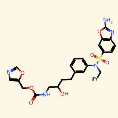 CC(C)CN(c1cccc(CCC(O)CNC(=O)OCc2cnco2)c1)S(=O)(=O)c1ccc2nc(N)oc2c1